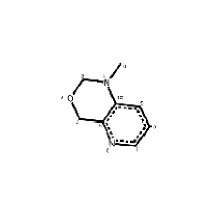 CN1COCc2ncccc21